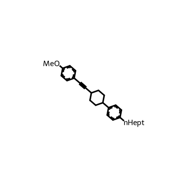 CCCCCCCc1ccc(C2CCC(C#Cc3ccc(OC)cc3)CC2)cc1